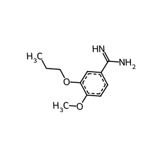 CCCOc1cc(C(=N)N)ccc1OC